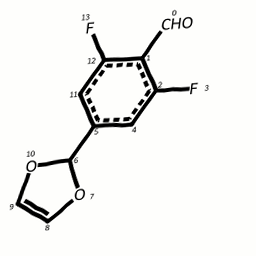 O=Cc1c(F)cc(C2OC=CO2)cc1F